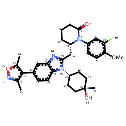 COc1ccc(N2C(=O)CCC[C@H]2Cc2nc3cc(-c4c(C)noc4C)ccc3n2[C@H]2CC[C@@](C)(O)CC2)cc1F